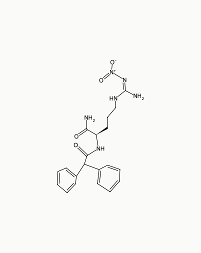 NC(=O)[C@@H](CCCN/C(N)=N\[N+](=O)[O-])NC(=O)C(c1ccccc1)c1ccccc1